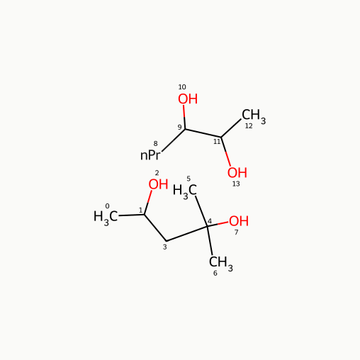 CC(O)CC(C)(C)O.CCCC(O)C(C)O